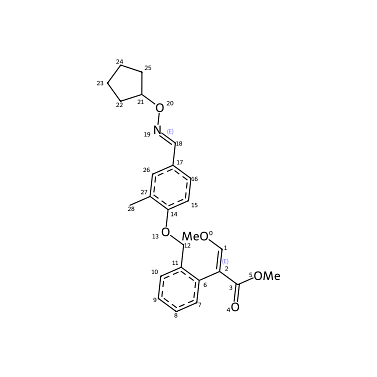 CO/C=C(/C(=O)OC)c1ccccc1COc1ccc(/C=N/OC2CCCC2)cc1C